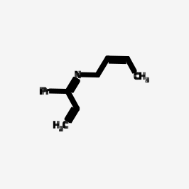 C=C/C(=N\C/C=C\C)C(C)C